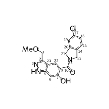 COCc1n[nH]c2cc(O)c(C(=O)N3Cc4ccc(Cl)cc4C3)cc12